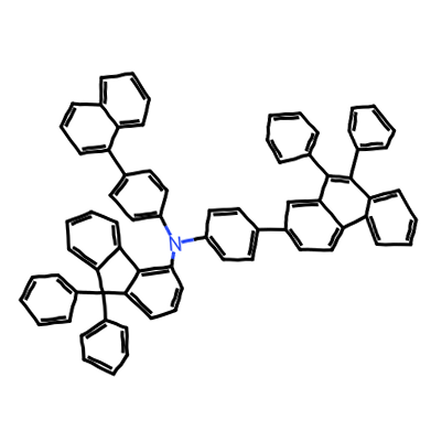 c1ccc(-c2c(-c3ccccc3)c3cc(-c4ccc(N(c5ccc(-c6cccc7ccccc67)cc5)c5cccc6c5-c5ccccc5C6(c5ccccc5)c5ccccc5)cc4)ccc3c3ccccc23)cc1